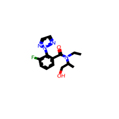 CCN(C(=O)c1cccc(F)c1-n1nccn1)C(C)CO